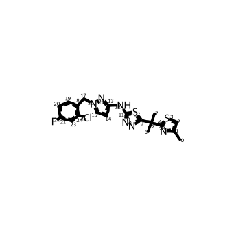 Cc1csc(C(C)(C)c2nnc(Nc3ccn(Cc4ccc(F)cc4Cl)n3)s2)n1